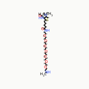 CNCCOCCOCCOCCOCCOCCOCCOCCNC(=O)CCCC[C@@H]1SCC(N(C)C)C1NC=O